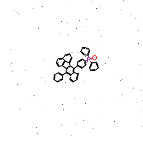 O=P(c1ccccc1)(c1ccccc1)c1ccc(-c2c3c(c(-c4ccccc4)c4ccccc24)-c2cccc4cccc-3c24)cc1